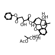 CC(=O)OC(C)C(=O)O.CN1CC[C@]23c4c5ccc(O)c4O[C@H]2C(OC(=O)C(O)CC(=O)Oc2ccccc2)=CC[C@@]3(O)[C@H]1C5